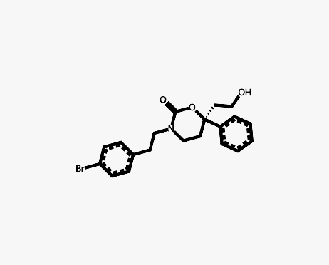 O=C1O[C@@](CCO)(c2ccccc2)CCN1CCc1ccc(Br)cc1